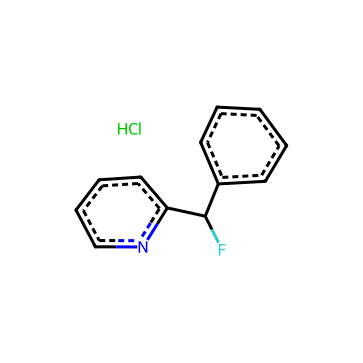 Cl.FC(c1ccccc1)c1ccccn1